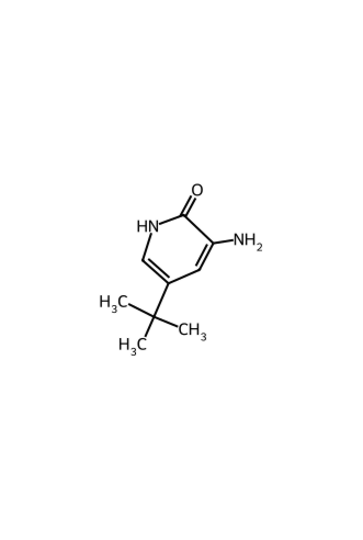 CC(C)(C)c1c[nH]c(=O)c(N)c1